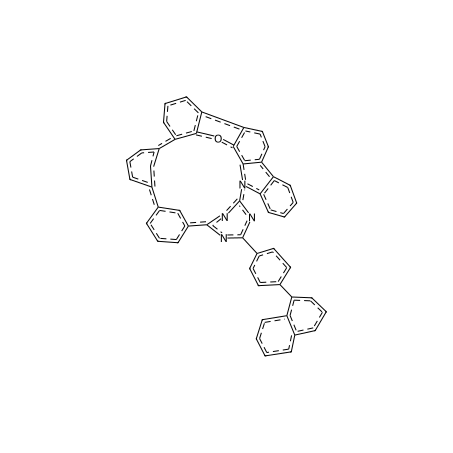 c1cc2cc(c1)c1nc(-c3ccc(-c4cccc5ccccc45)cc3)nc(n1)n1c3ccccc3c3ccc4c5cccc(c6cccc2c6)c5oc4c31